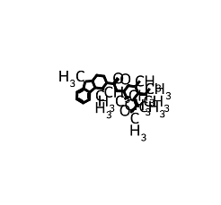 CC(=O)/C(C)=C/C(C(C)C)C(C)C(=O)C(CC(=O)C1CCC2C(C)c3ccccc3C2C1(C)C)C(C)(C)C